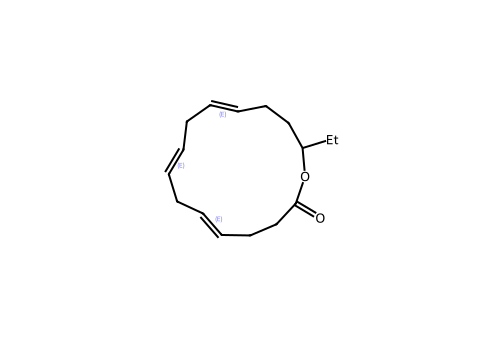 CCC1CC/C=C/C/C=C/C/C=C/CCC(=O)O1